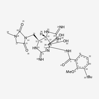 COc1c(C(=O)NC2CN3C(=N)N[C@@H](CN4C(=O)CN(C)C4=O)[C@@H]4NC(=N)NC43C2(O)O)cccc1C(C)(C)C